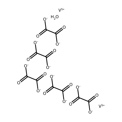 O.O=C([O-])C(=O)[O-].O=C([O-])C(=O)[O-].O=C([O-])C(=O)[O-].O=C([O-])C(=O)[O-].O=C([O-])C(=O)[O-].[V+5].[V+5]